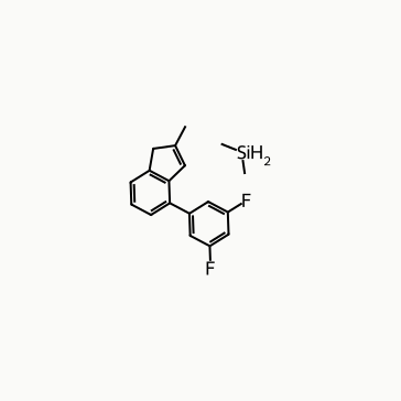 CC1=Cc2c(cccc2-c2cc(F)cc(F)c2)C1.C[SiH2]C